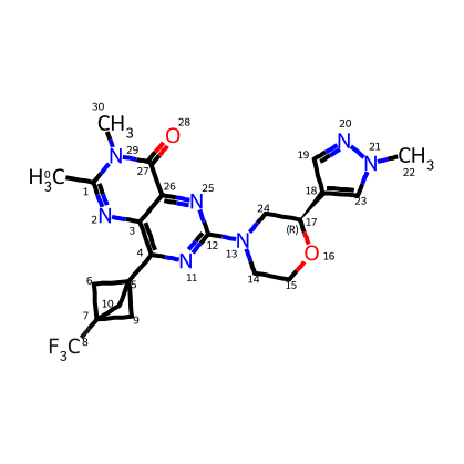 Cc1nc2c(C34CC(C(F)(F)F)(C3)C4)nc(N3CCO[C@H](c4cnn(C)c4)C3)nc2c(=O)n1C